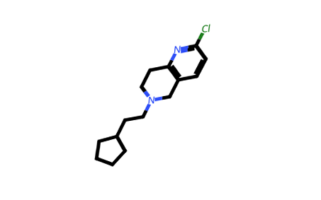 Clc1ccc2c(n1)CCN(CCC1CCCC1)C2